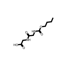 CCCCOC(=O)NCC(=O)NCC(=O)O